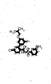 CC(C)COc1cc(F)cc(-c2nc(Cl)ccc2C(=O)NS(=O)(=O)c2cccc(N)n2)c1